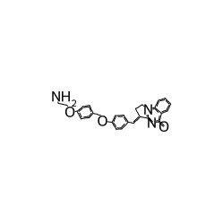 NCCOc1ccc(COc2ccc(/C=C3\CCn4c3nc(=O)c3ccccc34)cc2)cc1